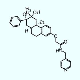 CC[C@@]12C[C@@](C)(O)[C@](O)(c3ccccc3)C[C@@H]1CCc1cc(OCC(=O)NCc3ccncc3)ccc12